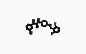 O=C(Nc1cccc(Cl)c1)NC1CCC(OCc2c(F)cccc2F)CC1